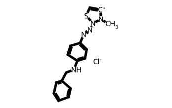 CN1[C+]=CSN1N=Nc1ccc(NCc2ccccc2)cc1.[Cl-]